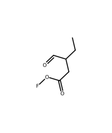 CCC(C=O)CC(=O)OF